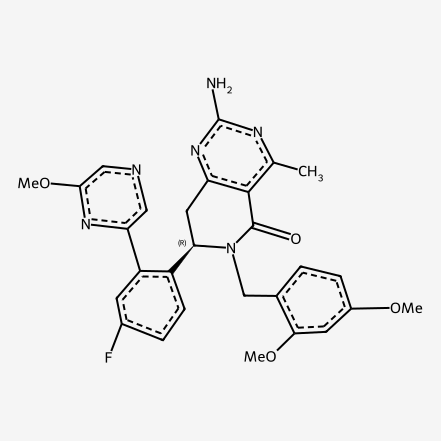 COc1ccc(CN2C(=O)c3c(C)nc(N)nc3C[C@@H]2c2ccc(F)cc2-c2cncc(OC)n2)c(OC)c1